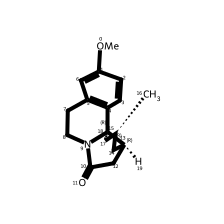 COc1ccc2c(c1)CCN1C(=O)C[C@H]3C[C@@H](C)C[C@]231